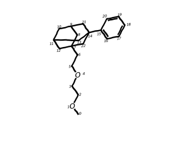 COCCOCCC12CC3CC(C1)CC(c1ccccc1)(C3)C2